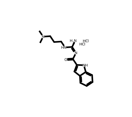 CN(C)CCCNC(N)=NC(=O)c1cc2ccccc2[nH]1.Cl.Cl